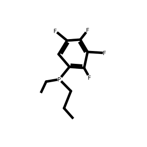 CCCP(CC)c1cc(F)c(F)c(F)c1F